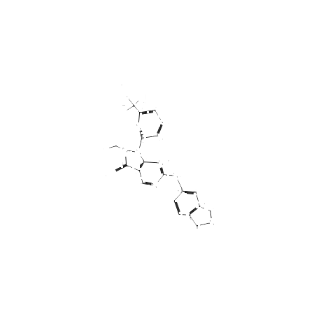 CCn1c(=O)c2cnc(Nc3ccc4c(c3)CNC4)nc2n1-c1cccc(C(C)(C)O)n1